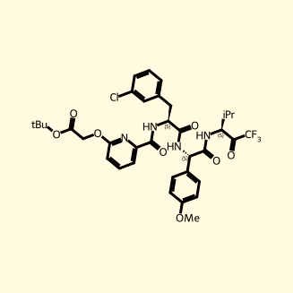 COc1ccc([C@H](NC(=O)[C@H](Cc2cccc(Cl)c2)NC(=O)c2cccc(OCC(=O)OC(C)(C)C)n2)C(=O)N[C@H](C(=O)C(F)(F)F)C(C)C)cc1